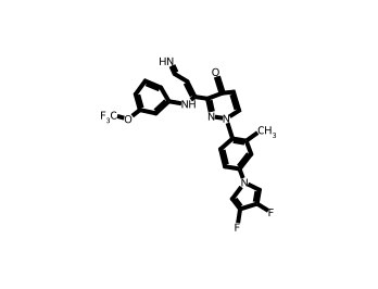 Cc1cc(-n2cc(F)c(F)c2)ccc1-n1ccc(=O)c(/C(=C/C=N)Nc2cccc(OC(F)(F)F)c2)n1